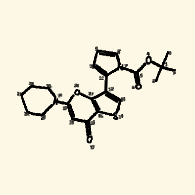 CC(C)(C)OC(=O)n1cccc1-c1csc2c(=O)cc(N3CCCCC3)oc12